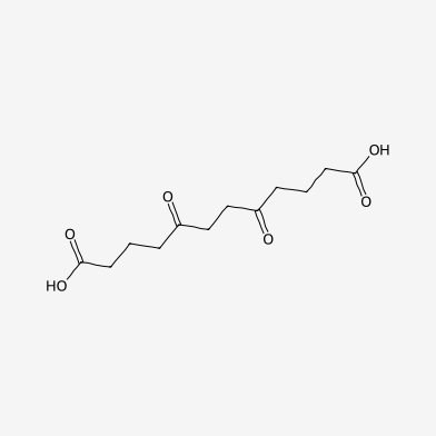 O=C(O)CCCC(=O)CCC(=O)CCCC(=O)O